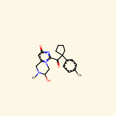 CC(C)N1Cc2cc(=O)nc(C(=O)C3(c4ccc(C#N)cc4)CCCC3)n2CC1O